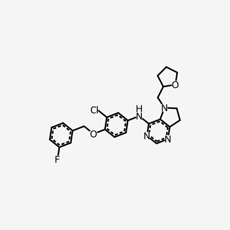 Fc1cccc(COc2ccc(Nc3ncnc4c3N(CC3CCCO3)CC4)cc2Cl)c1